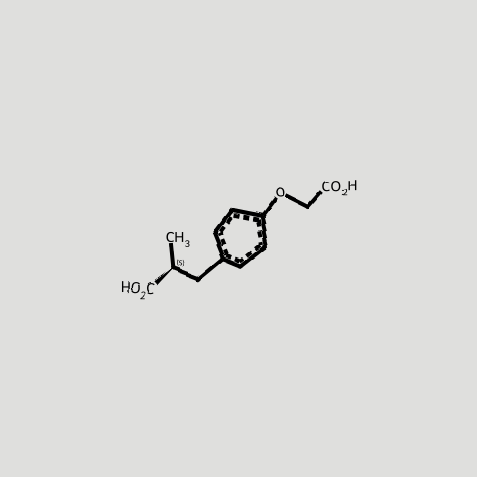 C[C@@H](Cc1ccc(OCC(=O)O)cc1)C(=O)O